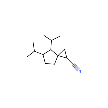 CC(C)C1CCC2(CC2C#N)C1C(C)C